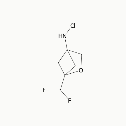 FC(F)C12CC(NCl)(CO1)C2